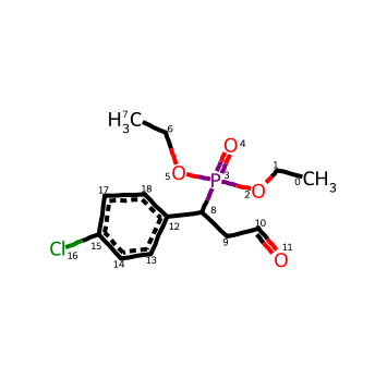 CCOP(=O)(OCC)C(CC=O)c1ccc(Cl)cc1